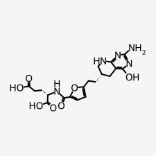 Nc1nc(O)c2c(n1)NC[C@@H](CCc1ccc(C(=O)N[C@@H](CCC(=O)O)C(=O)O)o1)C2